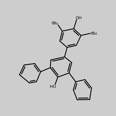 CC(C)(C)c1cc(-c2cc(-c3ccccc3)c(O)c(-c3ccccc3)c2)cc(C(C)(C)C)c1O